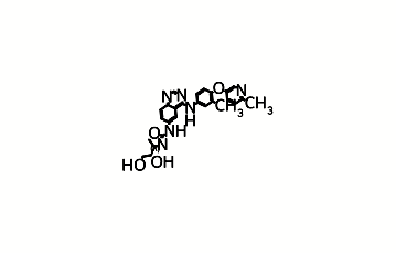 Cc1ccc(Oc2ccc(Nc3ncnc4ccc(NC5=N[C@@H](C(O)CO)CO5)cc34)cc2C)cn1